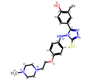 CC(C)c1cc(-c2nnc(S)n2Nc2ccc(OCCN3CCN(C)CC3)cc2)ccc1O